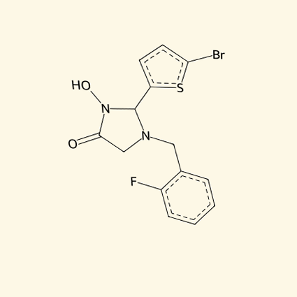 O=C1CN(Cc2ccccc2F)C(c2ccc(Br)s2)N1O